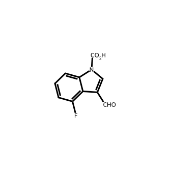 O=Cc1cn(C(=O)O)c2cccc(F)c12